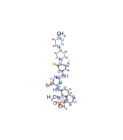 CN1CCN(C2CCN(c3c(F)cc(Nc4ncc(Br)c(Nc5ccc6nccnc6c5N(C)S(C)(=O)=O)n4)cc3F)CC2)CC1